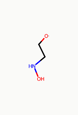 [O]CCNO